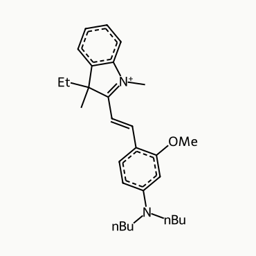 CCCCN(CCCC)c1ccc(/C=C/C2=[N+](C)c3ccccc3C2(C)CC)c(OC)c1